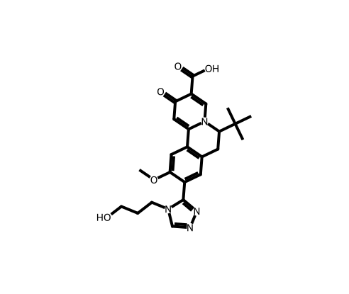 COc1cc2c(cc1-c1nncn1CCCO)CC(C(C)(C)C)n1cc(C(=O)O)c(=O)cc1-2